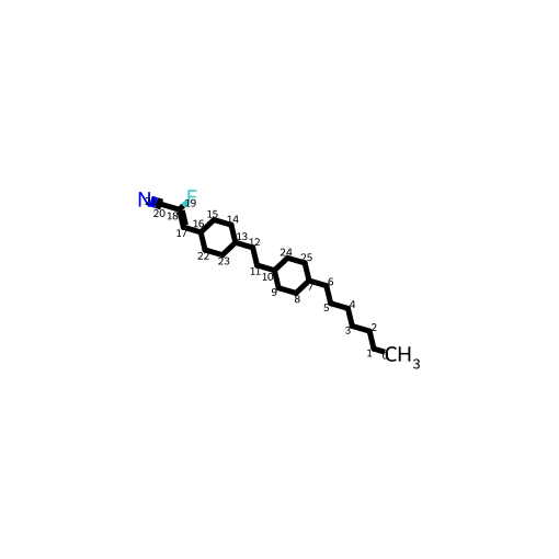 CCCCCCCC1CCC(CCC2CCC(C=C(F)C#N)CC2)CC1